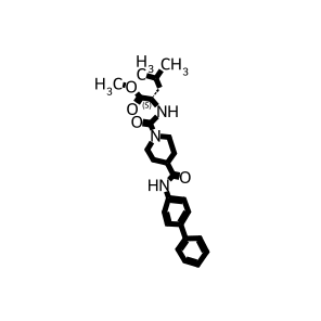 COC(=O)[C@H](CC(C)C)NC(=O)N1CCC(C(=O)Nc2ccc(-c3ccccc3)cc2)CC1